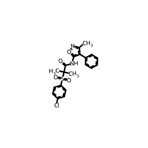 Cc1noc(NC(=O)C(C)(C)S(=O)(=O)c2ccc(Cl)cc2)c1-c1ccccc1